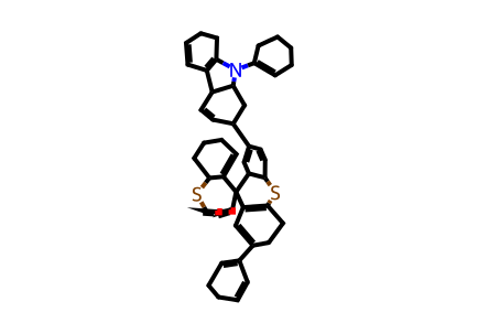 C1=CC2SC3CCCC=C3C3(C4=C(CCC(C5=CCCC=C5)=C4)SC4C=CC(C5C=CC6C7=C(CCC=C7)N(C7=CCCCC7)C6C5)=CC43)C2C=C1